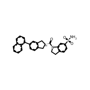 NS(=O)(=O)c1ccc2c(c1)N(C(=O)[C@@H]1Cc3ccc(-c4cccc5ccccc45)cc3C1)CC2